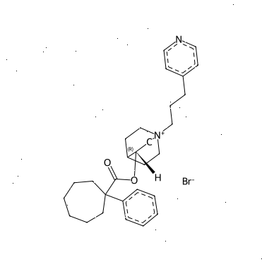 O=C(O[C@H]1C[N+]2(CCCc3ccncc3)CCC1CC2)C1(c2ccccc2)CCCCCC1.[Br-]